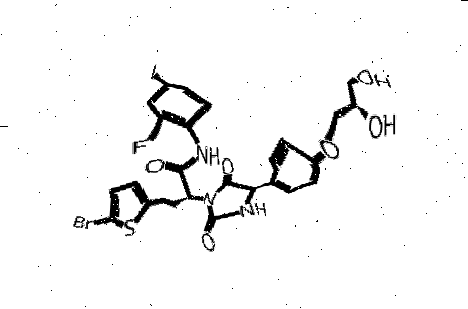 O=C(Nc1ccc(I)cc1F)[C@H](Cc1ccc(Br)s1)N1C(=O)N[C@H](c2ccc(OC[C@H](O)CO)cc2)C1=O